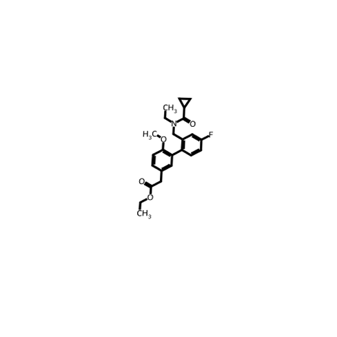 CCOC(=O)Cc1ccc(OC)c(-c2ccc(F)cc2CN(CC)C(=O)C2CC2)c1